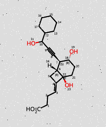 O=C(O)CCC=C1C[C@@H]2[C@@H](C#CC(O)C3CCCCC3)[C@H](O)CC[C@]12O